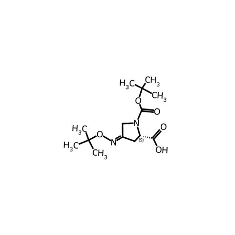 CC(C)(C)ON=C1C[C@@H](C(=O)O)N(C(=O)OC(C)(C)C)C1